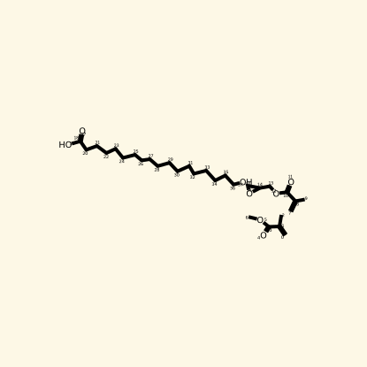 C=C(C)C(=O)OC.C=C(C)C(=O)OCC1CO1.O=C(O)CCCCCCCCCCCCCCCCCO